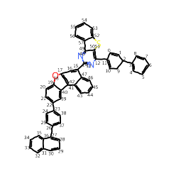 C1=CC(c2ccccc2)CC=C1c1nc(-c2cc3oc4ccc(-c5ccc(-c6cccc7ccccc67)cc5)cc4c3c3ccccc23)nc2c1sc1ccccc12